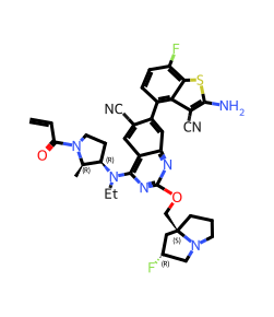 C=CC(=O)N1CC[C@@H](N(CC)c2nc(OC[C@@]34CCCN3C[C@H](F)C4)nc3cc(-c4ccc(F)c5sc(N)c(C#N)c45)c(C#N)cc23)[C@H]1C